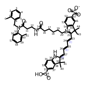 Cc1ccccc1CN(C(=O)CCNC(=O)CCCCC[N+]1=C(/C=C/C=C/C=C2\Nc3ccc(S(=O)O)cc3C2(C)C)C(C)(C)c2cc(S(=O)(=O)[O-])ccc21)c1ccccc1C